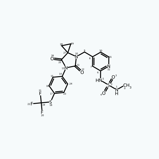 CNS(=O)(=O)Nc1cc(CN2C(=O)N(c3ccc(SC(F)(F)F)cc3)C(=O)C23CC3)ccn1